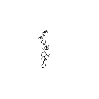 CC(C)(C)OC(=O)NC1CCN(c2nnc([C@@H]3CC[C@H]4CN3C(=O)N4OCc3ccccc3)o2)CC1